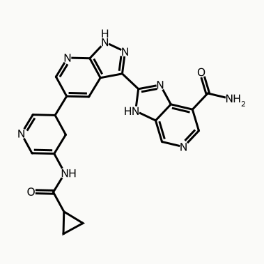 NC(=O)c1cncc2[nH]c(-c3n[nH]c4ncc(C5C=NC=C(NC(=O)C6CC6)C5)cc34)nc12